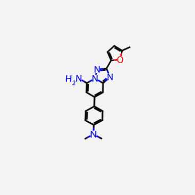 Cc1ccc(-c2nc3cc(-c4ccc(N(C)C)cc4)cc(N)n3n2)o1